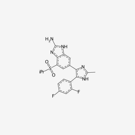 Cc1nc(-c2cc(S(=O)(=O)C(C)C)c3nc(N)[nH]c3c2)c(-c2ccc(F)cc2F)[nH]1